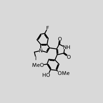 COc1cc(C2=C(c3cn(CI)c4ccc(F)cc34)C(=O)NC2=O)cc(OC)c1O